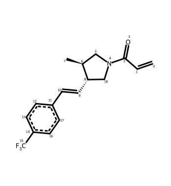 C=CC(=O)N1C[C@H](C)[C@@H](/C=C/c2ccc(C(F)(F)F)cc2)C1